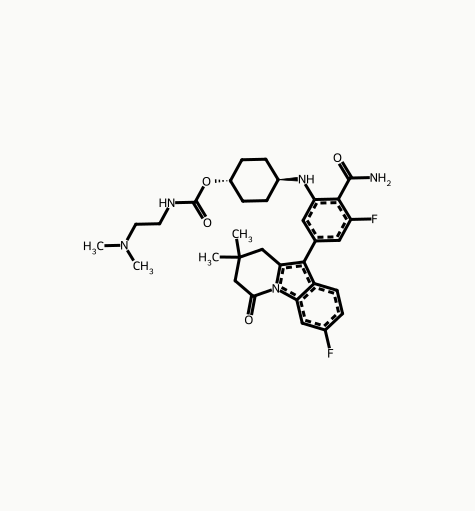 CN(C)CCNC(=O)O[C@H]1CC[C@H](Nc2cc(-c3c4n(c5cc(F)ccc35)C(=O)CC(C)(C)C4)cc(F)c2C(N)=O)CC1